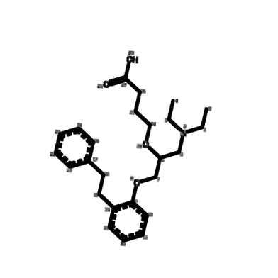 CCN(CC)CC(COc1ccccc1CCc1ccccc1)OCCCC(=O)O